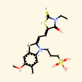 CCN1C(=O)/C(=C/C=C2/[Se]c3cc(OC)c(C)cc3N2CCCS(=O)(=O)O)SC1=S